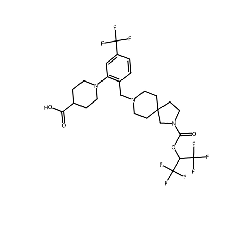 O=C(O)C1CCN(c2cc(C(F)(F)F)ccc2CN2CCC3(CC2)CCN(C(=O)OC(C(F)(F)F)C(F)(F)F)C3)CC1